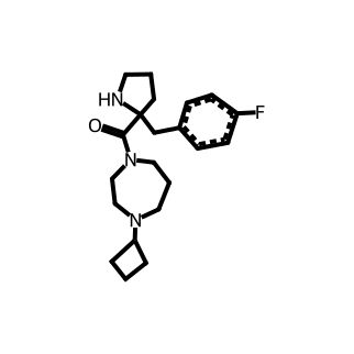 O=C(N1CCCN(C2CCC2)CC1)C1(Cc2ccc(F)cc2)CCCN1